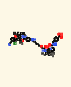 CC(C)(C)C(NC(=O)COCCCCCNc1ccc(C(=O)N[C@H]2C(C)(C)[C@H](Oc3ccc(C#N)c(Cl)c3)C2(C)C)cc1)C(=O)N1CCC[C@H]1C(=O)NCc1ccc(C(=O)O)cc1